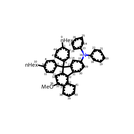 CCCCCCc1ccc(C2(c3ccc(CCCCCC)cc3)c3cc(N(c4ccccc4)c4ccccc4)ccc3-c3c2cc(OC)c2ccccc32)cc1